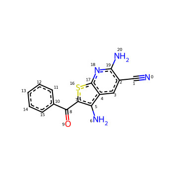 N#Cc1cc2c(N)c(C(=O)c3ccccc3)sc2nc1N